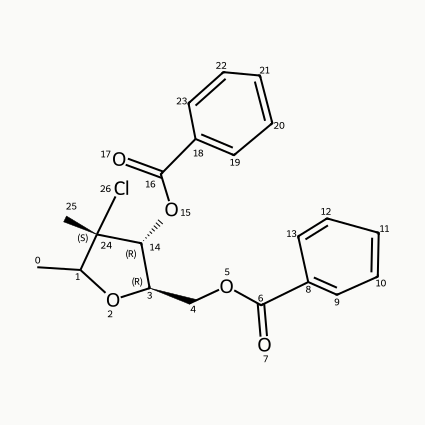 CC1O[C@H](COC(=O)c2ccccc2)[C@@H](OC(=O)c2ccccc2)[C@@]1(C)Cl